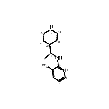 C[C@H](Nc1ncccc1C(F)(F)F)C1CCNCC1